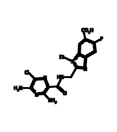 CCn1c(CNC(=O)c2nc(Cl)c(N)nc2N)nc2cc(F)c(C(=O)O)cc21